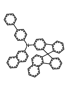 c1ccc(-c2ccc(N(c3ccc4c(c3)C3(c5ccccc5-4)c4ccccc4-c4c3ccc3ccccc43)c3ccc4ccccc4c3)cc2)cc1